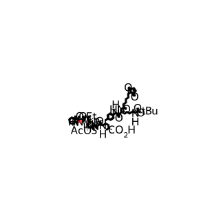 CC[C@H](C)[C@H](NC(=O)C1(C)CCCCN1C)C(=O)N(CC)[C@H](C[C@@H](OC(C)=O)c1nc(C(=O)N[C@@H](Cc2ccc(NC(=O)[C@H](CCCCNC(=O)OC(C)(C)C)NC(=O)CCCCCN3C(=O)C=CC3=O)cc2)C[C@H](C)C(=O)O)cs1)C(C)C